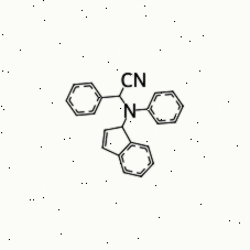 N#CC(c1ccccc1)N(c1ccccc1)C1C=Cc2ccccc21